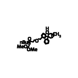 CCCCN(CC(OC)OC)C(=O)CCOCCc1ccc(O)c(C2(c3ccccc3)CCN(C)CC2)c1